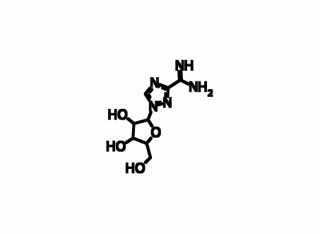 N=C(N)c1ncn(C2OC(CO)C(O)C2O)n1